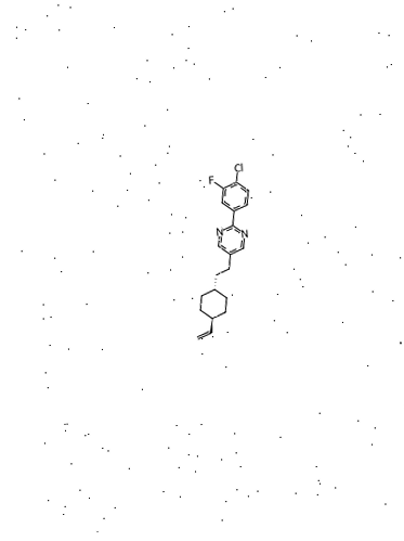 C=C[C@H]1CC[C@H](CCc2cnc(-c3ccc(Cl)c(F)c3)nc2)CC1